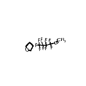 C1CCOC1.COC(F)(F)C(F)(F)C(F)(F)C(F)(F)F